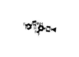 Fc1cc(N2C=CN(Nc3cc(C(F)F)cc(N4CCN(C5CC5)CC4)c3)N2)ccn1